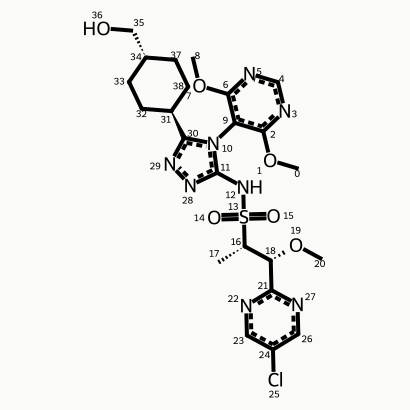 COc1ncnc(OC)c1-n1c(NS(=O)(=O)[C@@H](C)[C@H](OC)c2ncc(Cl)cn2)nnc1[C@H]1CC[C@H](CO)CC1